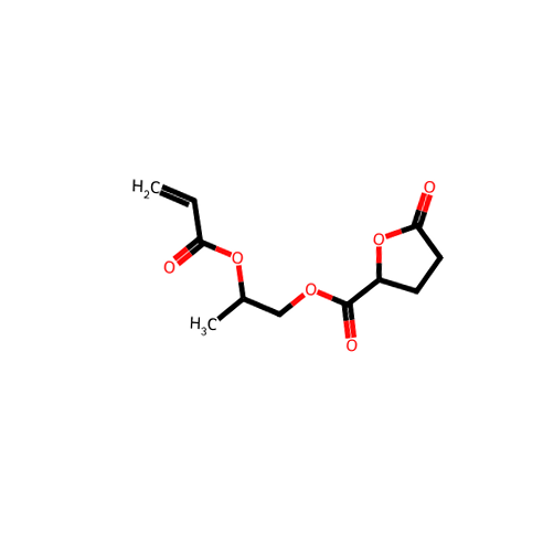 C=CC(=O)OC(C)COC(=O)C1CCC(=O)O1